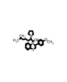 C=C(C)CCCC(C(O)N1c2ccccc2SCC1c1ccc(OC)cc1)N1CCCC1